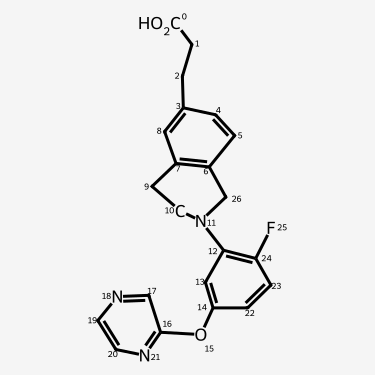 O=C(O)CCc1ccc2c(c1)CCN(c1cc(Oc3cnccn3)ccc1F)C2